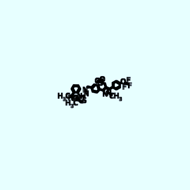 CC(C)c1ccccc1N1/C(=N\N=C/c2ccc3c(c2)S(=O)(=O)Cc2c-3nn(C)c2-c2ccc(OC(F)(F)F)cc2)SCC1(C)O